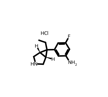 CCC1(c2cc(N)cc(F)c2)[C@@H]2CNC[C@@H]21.Cl